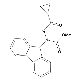 COC(=O)N(OC(=O)C1CC1)C1c2ccccc2-c2ccccc21